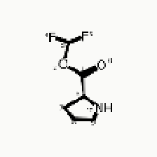 O=C(OC(F)F)[C@@H]1CCCN1